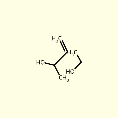 C=CC(C)O.CCO